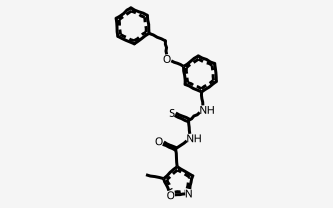 Cc1oncc1C(=O)NC(=S)Nc1cccc(OCc2ccccc2)c1